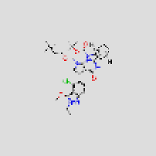 CCn1nc2ccc(-c3cn(COCC[Si](C)(C)C)c4nc(C5[C@H]6CC[C@@H]5[C@H](NC(=O)OC(C)(C)C)C6)n(C)c(=O)c34)c(Cl)c2c1OC